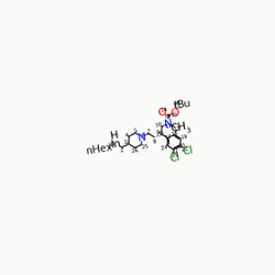 CCCCC[CH2][InH][CH2]C1CCN(CC[C@H](CN(C)C(=O)OC(C)(C)C)c2ccc(Cl)c(Cl)c2)CC1